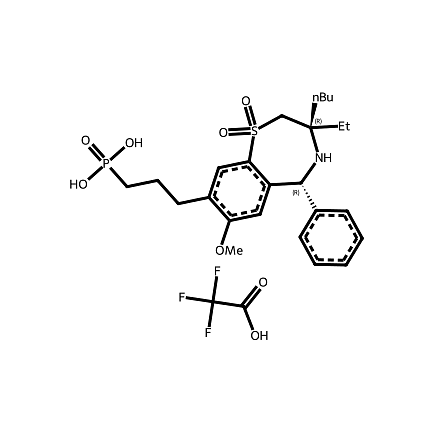 CCCC[C@]1(CC)CS(=O)(=O)c2cc(CCCP(=O)(O)O)c(OC)cc2[C@@H](c2ccccc2)N1.O=C(O)C(F)(F)F